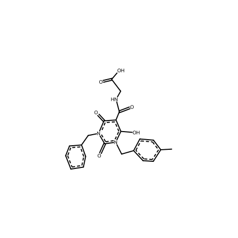 Cc1ccc(Cn2c(O)c(C(=O)NCC(=O)O)c(=O)n(Cc3ccccc3)c2=O)cc1